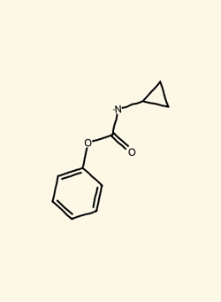 O=C([N]C1CC1)Oc1ccccc1